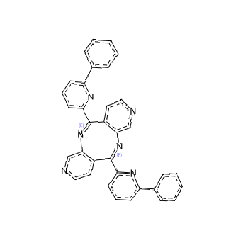 c1ccc(-c2cccc(/C3=N/c4cnccc4/C(c4cccc(-c5ccccc5)n4)=N\c4cnccc43)n2)cc1